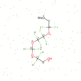 COCC(F)(F)OC(F)(F)C(F)(F)OC(F)(F)OC(F)(F)CO